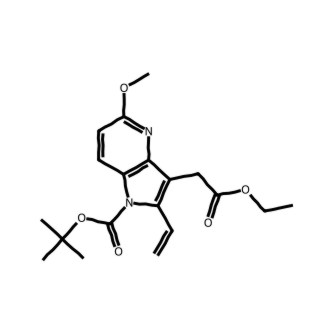 C=Cc1c(CC(=O)OCC)c2nc(OC)ccc2n1C(=O)OC(C)(C)C